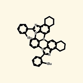 CC(C)(C)c1ccccc1-c1nc2c3c(cc4c2n1-c1cccc2c1B4c1cc4c(c5nc(-c6ccccc6C(C)(C)C)n-2c15)CCCC4)CCCC3